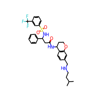 CC(C)CCNCc1ccc2c(c1)OCCC2NC(=O)CC(NS(=O)(=O)c1cccc(C(F)(F)F)c1)c1ccccc1